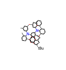 Cc1cc(C)cc(N(c2c(C)cccc2-c2ccccc2)c2cc(N(c3cc(C)cc(C)c3)c3c(C)cccc3-c3ccccc3)c3ccc4cc(C(C)(C)C)cc5ccc2c3c54)c1